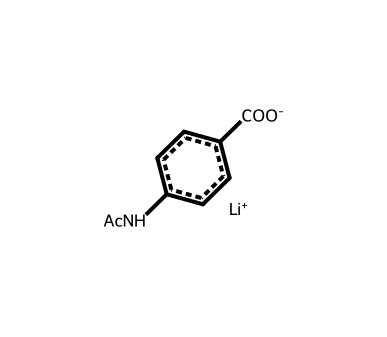 CC(=O)Nc1ccc(C(=O)[O-])cc1.[Li+]